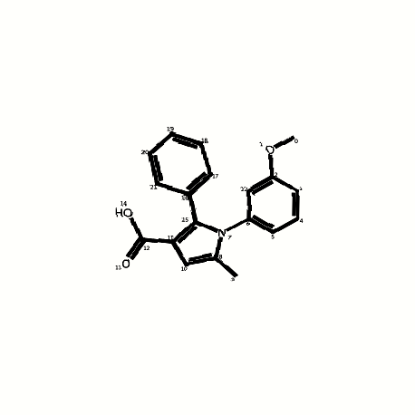 COc1cccc(-n2c(C)cc(C(=O)O)c2-c2ccccc2)c1